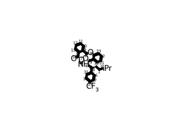 CC(C)CC[C@H](C[C@H](OC(=O)c1ccccc1C(=O)ON)c1ccccc1)c1ccc(C(F)(F)F)cc1